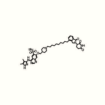 Cc1[nH]nc(Nc2ncnc3cc(OCC4CCN(CCCCCCCCCCc5cccc6c5CN(C5CCC(=O)NC5=O)C6=O)CC4)c(S(=O)(=O)C(C)(C)C)cc23)c1C